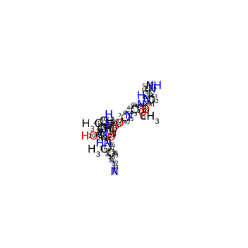 COc1cc(N2CCC(OCC(=O)N[C@H](C(=O)N3C[C@H](O)C[C@H]3C(=O)NCc3ccc(/C=C/C#N)cc3C)C(C)(C)C)CC2)ccc1NC(=O)c1cccc(-c2cc[nH]n2)n1